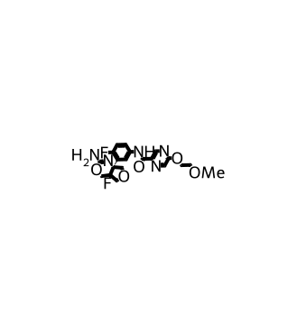 COCCOc1cnc(C(=O)Nc2ccc(F)c([C@]34COC[C@@]3(F)COC(N)=N4)c2)cn1